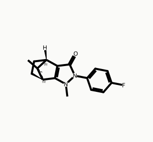 Cn1c2c(c(=O)n1-c1ccc(F)cc1)[C@H]1CC[C@@]23CC13C